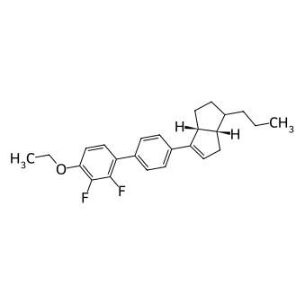 CCCC1CC[C@H]2C(c3ccc(-c4ccc(OCC)c(F)c4F)cc3)=CC[C@@H]12